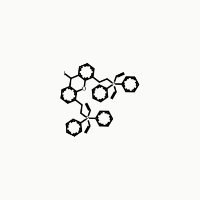 C=CP(C=C)(CCc1cccc2c1Oc1c(CCP(C=C)(C=C)(c3ccccc3)c3ccccc3)cccc1C2I)(c1ccccc1)c1ccccc1